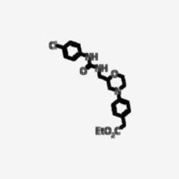 CCOC(=O)Cc1ccc(N2CCOC(CNC(=O)Nc3ccc(Cl)cc3)C2)cc1